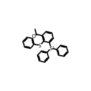 CC(=O)c1cccc([S+](c2ccccc2)c2ccccc2)c1Sc1ccccc1